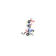 CCOC(=O)C1=C(CN2CC[C@]3(F)C(=O)N(c4cc(C(=O)O)ccc4F)C[C@@H]3C2)NC(c2nccs2)=N[C@H]1c1cccc(F)c1C